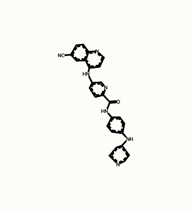 N#Cc1ccc2nccc(Nc3ccc(C(=O)Nc4ccc(Nc5ccncc5)cc4)nc3)c2c1